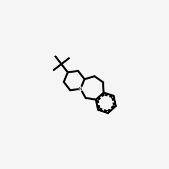 CC(C)(C)C1CCN2Cc3ccccc3CCC2C1